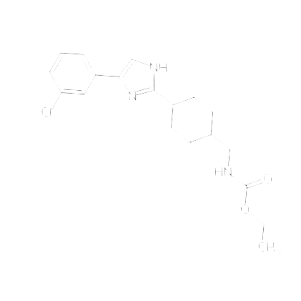 CCOC(=O)NCC1CCC(c2nc(-c3cccc(Cl)c3)c[nH]2)CC1